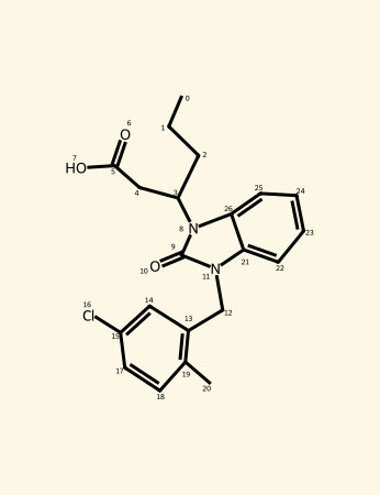 CCCC(CC(=O)O)n1c(=O)n(Cc2cc(Cl)ccc2C)c2ccccc21